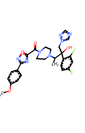 COc1ccc(-c2noc(C(=O)N3CCN(C(C)C(O)(Cn4cncn4)c4ccc(F)cc4F)CC3)n2)cc1